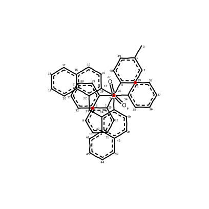 Cc1ccc(P(=O)(c2ccccc2)c2ccc3ccccc3c2Cc2c(P(=O)(c3ccccc3)c3ccccc3)ccc3ccccc23)cc1